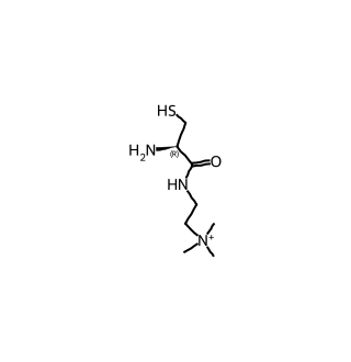 C[N+](C)(C)CCNC(=O)[C@@H](N)CS